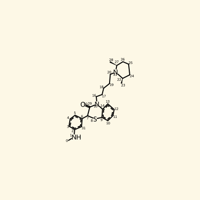 CNc1cccc(C2Sc3ccccc3N(CCCCCN3[C@H](C)CCC[C@@H]3C)C2=O)c1